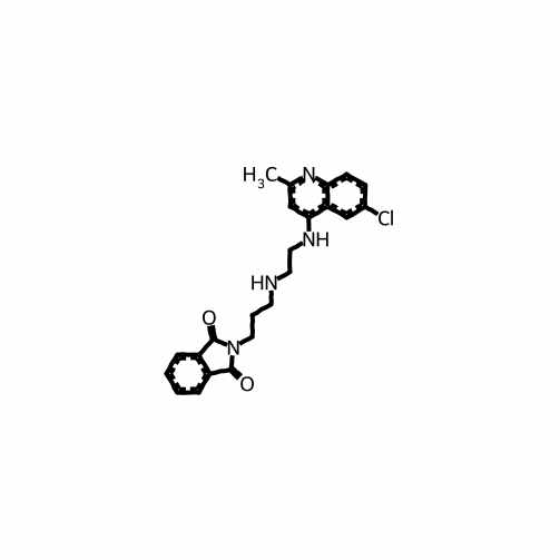 Cc1cc(NCCNCCCN2C(=O)c3ccccc3C2=O)c2cc(Cl)ccc2n1